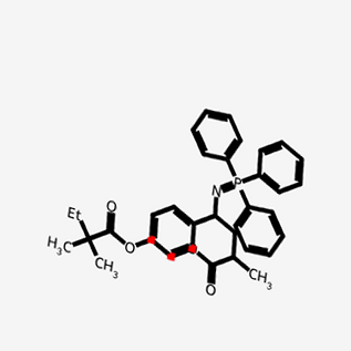 CCC(C)(C)C(=O)OCCOC(=O)C(C)CC(N=P(c1ccccc1)(c1ccccc1)c1ccccc1)c1ccccc1